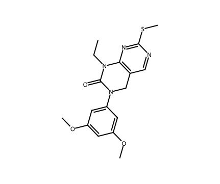 CCN1C(=O)N(c2cc(OC)cc(OC)c2)Cc2cnc(SC)nc21